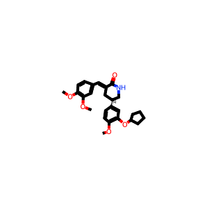 COc1ccc(C=C2C[C@@H](c3ccc(OC)c(OC4CCCC4)c3)CNC2=O)cc1OC